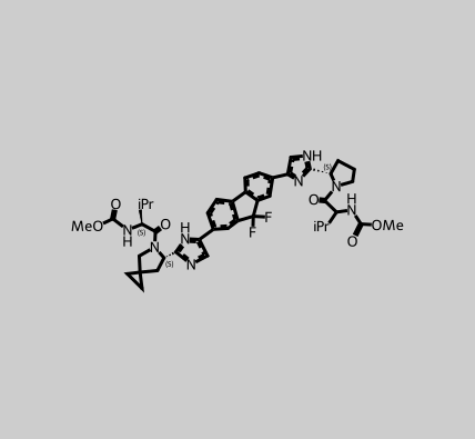 COC(=O)NC(C(=O)N1CCC[C@H]1c1nc(-c2ccc3c(c2)C(F)(F)c2cc(-c4cnc([C@@H]5CC6(CC6)CN5C(=O)[C@@H](NC(=O)OC)C(C)C)[nH]4)ccc2-3)c[nH]1)C(C)C